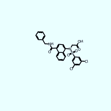 O=C(O)CN(c1ccc(C(=O)NCc2ccccc2)c2ccccc12)S(=O)(=O)c1cc(Cl)cc(Cl)c1